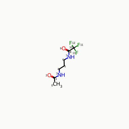 CC(=O)NCCCNC(=O)C(F)(F)F